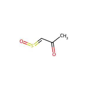 CC(=O)C=S=O